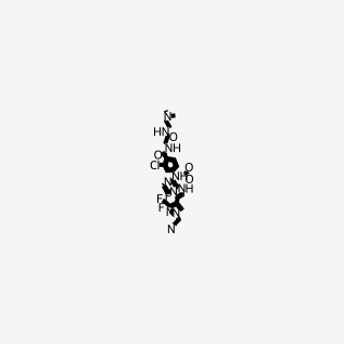 CN(C)CCNC(=O)CNC(=O)c1ccc(Nc2nccn3c(-c4cn(CC#N)nc4C(F)(F)F)cnc23)cc1Cl.O=CO